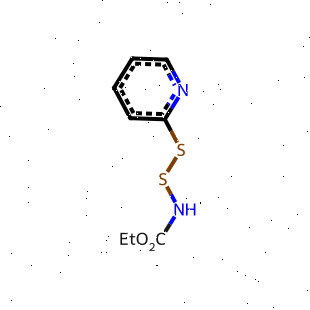 CCOC(=O)NSSc1ccccn1